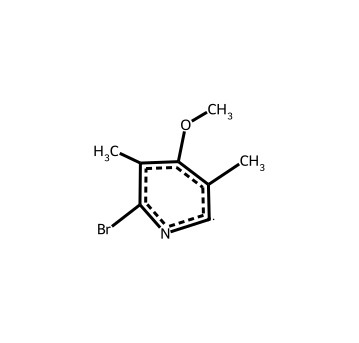 COc1c(C)[c]nc(Br)c1C